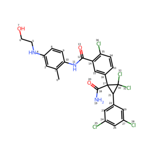 Cc1cc(NCCO)ccc1NC(=O)c1cc(C2(C(N)=O)C(c3cc(Cl)cc(Cl)c3)C2(Cl)Cl)ccc1Cl